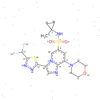 CC1(NS(=O)(=O)c2cc(N3CCOCC3)c3ncc(-c4nnc(C(F)F)s4)n3c2)CC1